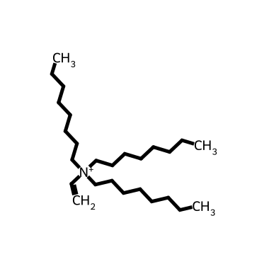 C=C[N+](CCCCCCCC)(CCCCCCCC)CCCCCCCC